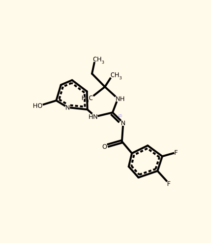 CCC(C)(C)N/C(=N/C(=O)c1ccc(F)c(F)c1)Nc1cccc(O)n1